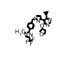 Cn1cc(C(F)(F)F)nc1-c1ccc(Cn2ccc(-c3c(OC4CCOC4)ncnc3C3CC3)n2)cc1